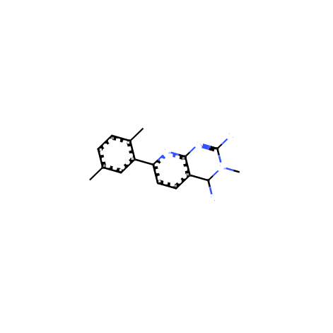 Cc1ccc(C)c(-c2ccc3c(n2)N=C(N)N(C)C3N)c1